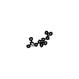 c1ccc(-c2cc(-c3ccccc3)nc(-c3cccc(-c4ccc5c(c4)C4(c6ccccc6-c6ccccc64)c4cc(-c6cccc(-n7c8ccccc8c8ccccc87)c6)ccc4-5)c3)c2)cc1